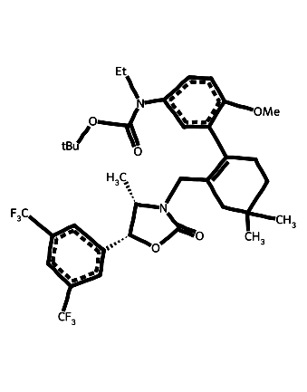 CCN(C(=O)OC(C)(C)C)c1ccc(OC)c(C2=C(CN3C(=O)O[C@H](c4cc(C(F)(F)F)cc(C(F)(F)F)c4)[C@@H]3C)CC(C)(C)CC2)c1